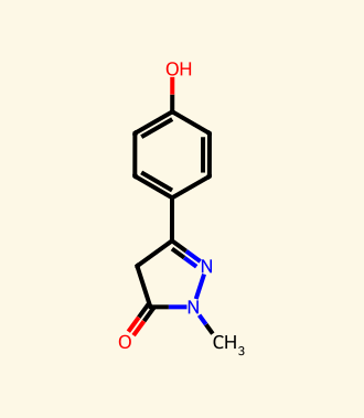 CN1N=C(c2ccc(O)cc2)CC1=O